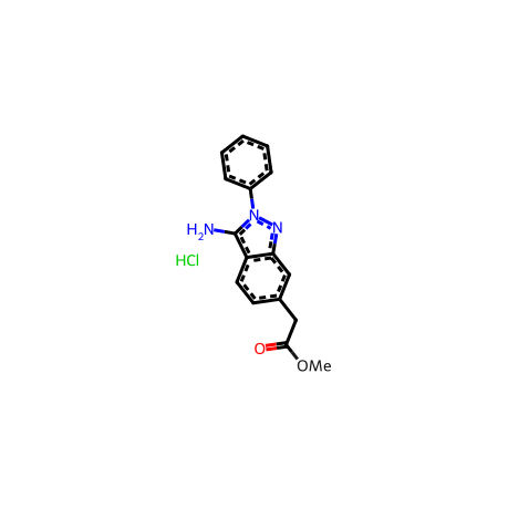 COC(=O)Cc1ccc2c(N)n(-c3ccccc3)nc2c1.Cl